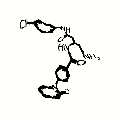 NCC(CC(=O)Nc1ccc(Cl)cc1)NC(=O)c1ccc(-n2ccccc2=O)cc1